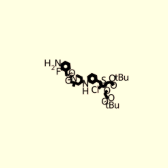 CC(C)(C)OC(=O)COc1c(C(=O)OC(C)(C)C)sc(-c2cccc(N[C@@H]3CCN(S(=O)(=O)Cc4cccc(N)c4F)C(C)(C)C3)c2)c1Cl